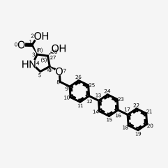 O=C(O)[C@@H]1NC[C@H](OCc2ccc(-c3ccc(-c4ccccc4)cc3)cc2)[C@H]1O